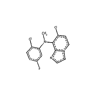 CN(c1cc(F)ccc1Cl)c1c(Cl)ccn2ccnc12